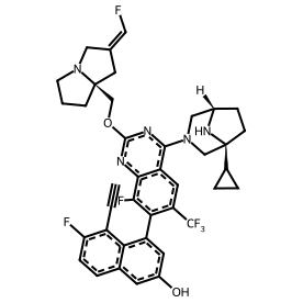 C#Cc1c(F)ccc2cc(O)cc(-c3c(C(F)(F)F)cc4c(N5C[C@@H]6CC[C@](C7CC7)(C5)N6)nc(OC[C@@]56CCCN5C/C(=C\F)C6)nc4c3F)c12